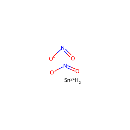 O=N[O-].O=N[O-].[SnH2+2]